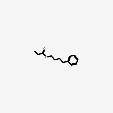 CCC(=O)OCCCCc1ccccc1